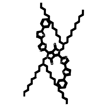 CCCCCCCCCCCCC(CCCCCCCCCC)CN1C(=O)C2=C(c3ncc(-c4ccc(-c5ccccc5)s4)s3)N(CC(CCCCCCCCCC)CCCCCCCCCCCC)C(=O)C2=C1c1ncc(C2=CCC(c3ccccc3)S2)s1